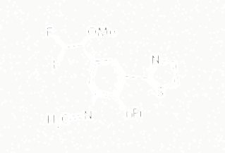 C=Nc1cc(C(OC)C(F)F)cc(-c2nccs2)c1CCC